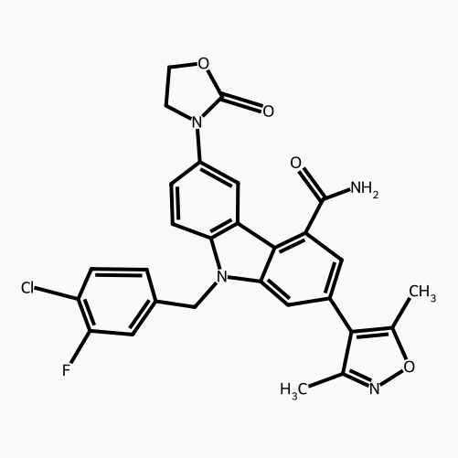 Cc1noc(C)c1-c1cc(C(N)=O)c2c3cc(N4CCOC4=O)ccc3n(Cc3ccc(Cl)c(F)c3)c2c1